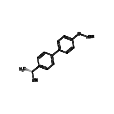 CCCCCCCCOc1ccc(-c2ccc([C@@H](C)O)cc2)cc1